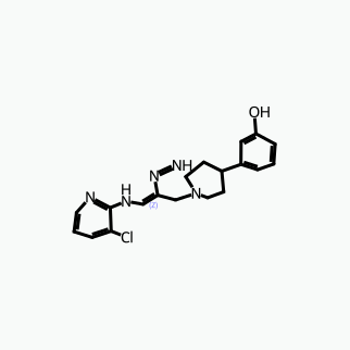 N=N/C(=C\Nc1ncccc1Cl)CN1CCC(c2cccc(O)c2)CC1